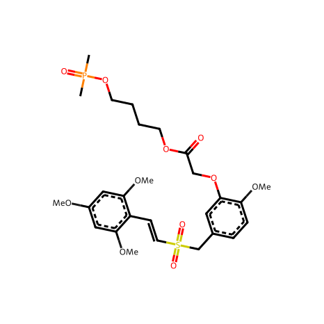 COc1cc(OC)c(/C=C/S(=O)(=O)Cc2ccc(OC)c(OCC(=O)OCCCCOP(C)(C)=O)c2)c(OC)c1